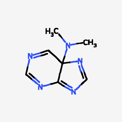 CN(C)C12C=NC=NC1=NC=N2